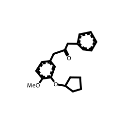 COc1ccc(CC(=O)Cc2ccccc2)cc1OC1CCCC1